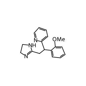 COc1ccccc1C(CC1=NCCN1)c1ccccn1